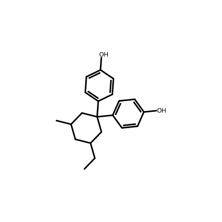 CCC1CC(C)CC(c2ccc(O)cc2)(c2ccc(O)cc2)C1